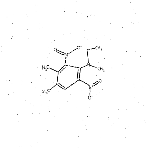 CCN(C)c1c([N+](=O)[O-])cc(C)c(C)c1[N+](=O)[O-]